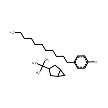 CC(C)(C)C1CC2CC2C1.CCCCCCCCCCCc1ccc(O)cc1